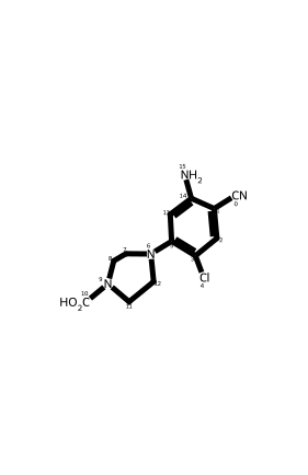 N#Cc1cc(Cl)c(N2CCN(C(=O)O)CC2)cc1N